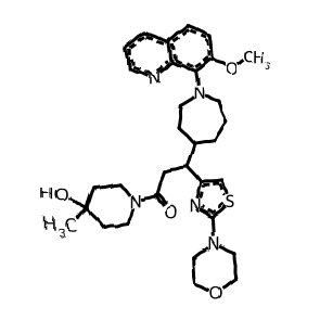 COc1ccc2cccnc2c1N1CCCC(C(CC(=O)N2CCC(C)(O)CC2)c2csc(N3CCOCC3)n2)CC1